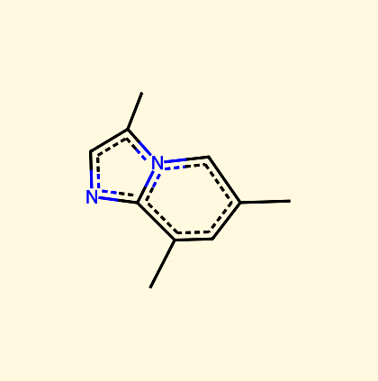 Cc1cc(C)c2ncc(C)n2c1